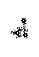 O=C(NO[C@H](COCc1ccccc1)C(=O)Nc1ccccc1)c1cc(C(F)(F)F)cc(C(F)(F)F)c1